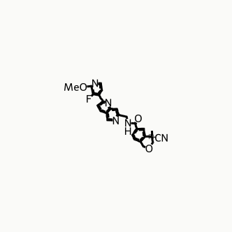 COc1nccc(-c2ccc3cnc(CNC(=O)c4ccc5c(c4)[C@](C)(C#N)COC5)cc3n2)c1F